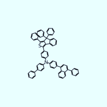 c1ccc(-c2ccc(N(c3ccc(-c4sc(-c5ccccc5)c5c4-c4ccccc4C5(c4ccccc4)c4ccccc4)cc3)c3ccc(-c4ccc(-c5ccccc5)c5ccccc45)cc3)cc2)cc1